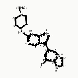 CC(=O)N[C@H]1CC[C@@H](Nc2ncc3c(-c4cc(F)c5nccn5c4)c[nH]c3n2)CC1